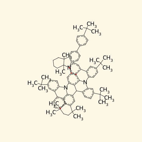 CC(C)(C)c1ccc(-c2ccc3c(c2)C2(C)CCCCC2(C)N3c2cc3c4c(c2)N(c2ccc(C(C)(C)C)cc2-c2ccccc2)c2cc5c(cc2C4c2ccc(C(C)(C)C)cc2N3c2ccc(C(C)(C)C)cc2-c2ccccc2)C(C)(C)CCC5(C)C)cc1